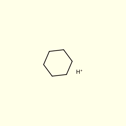 C1CCCCC1.[H+]